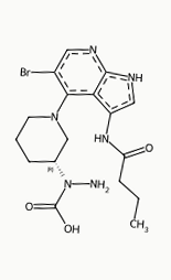 CCCC(=O)Nc1c[nH]c2ncc(Br)c(N3CCC[C@@H](N(N)C(=O)O)C3)c12